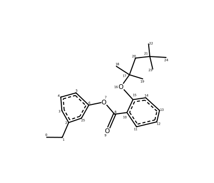 CCc1cccc(OC(=O)c2ccccc2OC(C)(C)CC(C)(C)C)c1